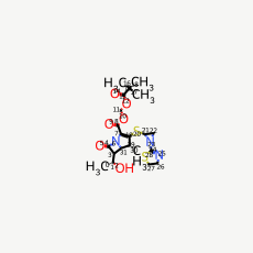 C[C@@H](O)C1C(=O)N2C(C(=O)OCOC(=O)C(C)(C)C)=C(SC3CN3C3=NCCS3)[C@H](C)C12